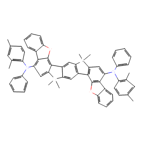 Cc1ccc(N(c2ccccc2)c2cc3c(c4oc5ccccc5c24)-c2cc4c(cc2[Si]3(C)C)-c2c(cc(N(c3ccccc3)c3ccc(C)cc3C)c3c2oc2ccccc23)[Si]4(C)C)c(C)c1